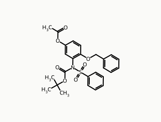 CC(=O)Oc1ccc(OCc2ccccc2)c(N(C(=O)OC(C)(C)C)S(=O)(=O)c2ccccc2)c1